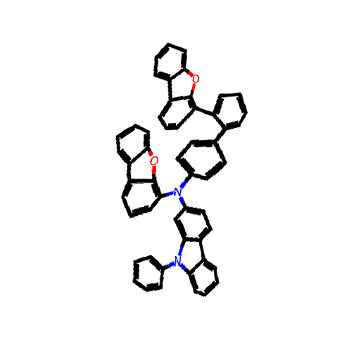 c1ccc(-n2c3ccccc3c3ccc(N(c4ccc(-c5ccccc5-c5cccc6c5oc5ccccc56)cc4)c4cccc5c4oc4ccccc45)cc32)cc1